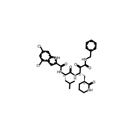 CC(C)C[C@H](NC(=O)c1cc2c(Cl)cc(Cl)cc2[nH]1)C(=O)N[C@@H](C[C@@H]1CCCNC1=O)C(=O)C(=O)NCc1ccccc1